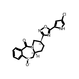 O=C1c2ccccc2[S+]([O-])C[C@@H]2CC[C@H](c3noc(-c4cc(Cl)c[nH]4)n3)CN12